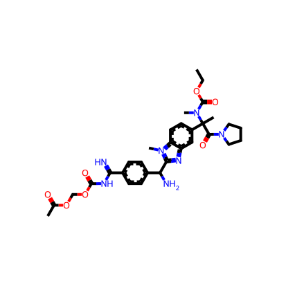 CCOC(=O)N(C)C(C)(C(=O)N1CCCC1)c1ccc2c(c1)nc(C(N)c1ccc(C(=N)NC(=O)OCOC(C)=O)cc1)n2C